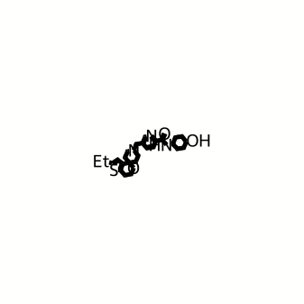 CCc1cc2c(s1)CCOC21CCN(Cc2ccc(C(=O)NC3CCC(O)CC3)nc2)CC1